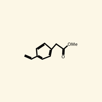 C=Cc1ccc(CC(=O)OC)cc1